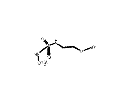 CC(C)OCCNS(=O)(=O)NC(=O)O